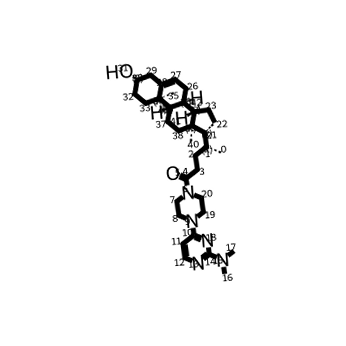 C[C@H](CCC(=O)N1CCN(c2ccnc(N(C)C)n2)CC1)[C@H]1CC[C@H]2[C@@H]3CC=C4C[C@@H](O)CC[C@]4(C)[C@H]3CC[C@]12C